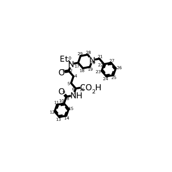 CCN(C(=O)CCC(NC(=O)c1ccccc1)C(=O)O)C1CCN(Cc2ccccc2)CC1